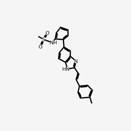 Cc1ccc(C=Cc2nc3cc(-c4ccccc4NS(C)(=O)=O)ccc3[nH]2)cc1